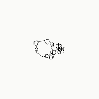 CC1CC(NS(=O)(=O)N(C)C)C2COC3CCC(CC3)c3cccc(c3)OCCCCCC(=O)N12